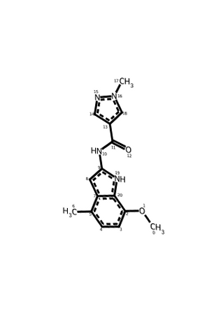 COc1ccc(C)c2cc(NC(=O)c3cnn(C)c3)[nH]c12